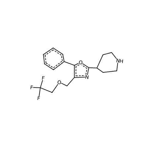 FC(F)(F)COCc1nc(C2CCNCC2)oc1-c1ccccc1